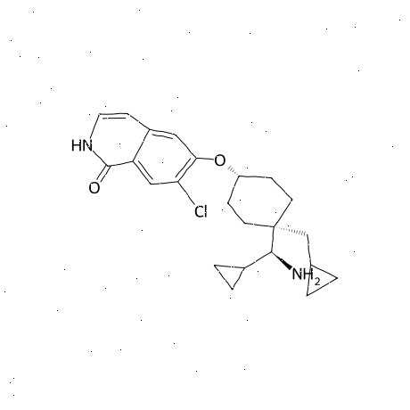 N[C@@H](C1CC1)[C@]1(CC2CC2)CC[C@@H](Oc2cc3cc[nH]c(=O)c3cc2Cl)CC1